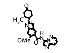 COc1cc2nn(C3CCC(=O)C[C@H]3C)cc2cc1C(=O)Nc1cnc2cccnn12